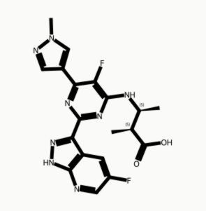 C[C@H](Nc1nc(-c2n[nH]c3ncc(F)cc23)nc(-c2cnn(C)c2)c1F)[C@H](C)C(=O)O